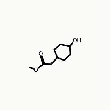 COC(=O)CC1CCC(O)CC1